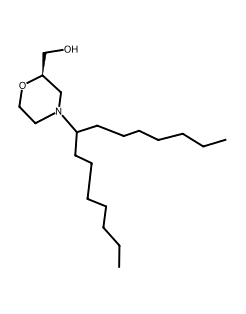 CCCCCCCC(CCCCCCC)N1CCO[C@@H](CO)C1